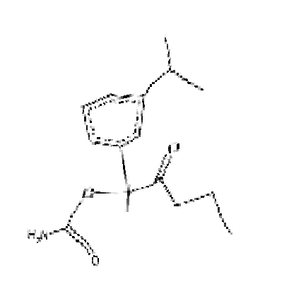 CCCC(=O)C(C)(OC(N)=O)c1cccc(C(C)C)c1